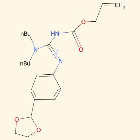 C=CCOC(=O)N/C(=N/c1ccc(C2OCCO2)cc1)N(CCCC)CCCC